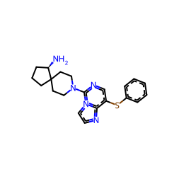 N[C@@H]1CCCC12CCN(c1ncc(Sc3ccccc3)c3nccn13)CC2